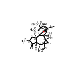 CCCCCCCCCC12C[C@@]34[C@H]([C@@H](O1)[C@@](C(C)C)(O2)[C@H](OC(C)=O)[C@H]3C)[C@@H]1C[C@]1(CO)[C@@H](O)[C@]1(O)C(=O)[C@@H](C)C[C@H]14